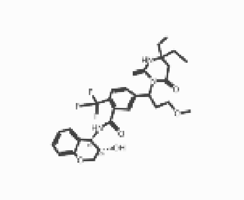 C=C1NC(CC)(CC)CC(=O)N1C(CCOC)c1ccc(C(F)(F)F)c(C(=O)N[C@@H]2c3ccccc3OC[C@H]2O)c1